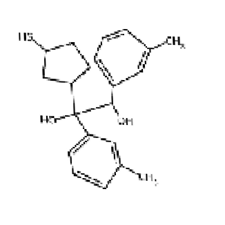 Cc1cccc(C(O)C(O)(c2cccc(C)c2)C2CCC(S)C2)c1